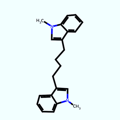 Cn1cc(CCCCc2cn(C)c3ccccc23)c2ccccc21